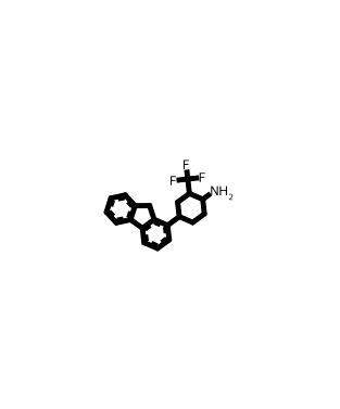 NC1CCC(c2cccc3c2Cc2ccccc2-3)CC1C(F)(F)F